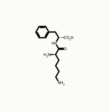 NCCCC[C@@H](N)C(=O)N[C@H](Cc1ccccc1)C(=O)O